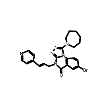 O=c1c2cc(Br)ccc2n2c(N3CCCCCC3)nnc2n1C/C=C/c1ccncc1